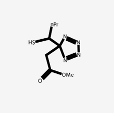 [CH2]CCC(S)C1(CC(=O)OC)N=NN=N1